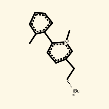 CC[C@@H](C)CCc1ccc(-c2ccccc2C)[n+](C)c1